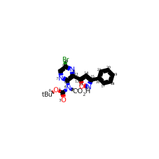 CC(C)(C)OC(=O)N(C(=O)O)c1ncc(Br)nc1-c1cc(-c2ccccc2)no1